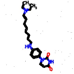 CCN(CC)CCCCCCCCNc1ccc(N2CCC(=O)NC2=O)cc1